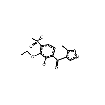 CCOc1c(S(C)(=O)=O)ccc(C(=O)c2cnoc2C)c1Cl